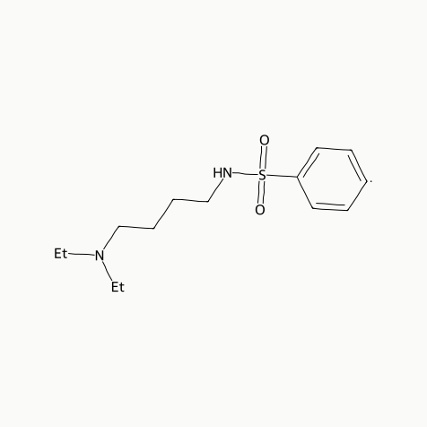 CCN(CC)CCCCNS(=O)(=O)c1cc[c]cc1